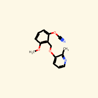 COc1cccc(OC#N)c1COc1cccnc1C